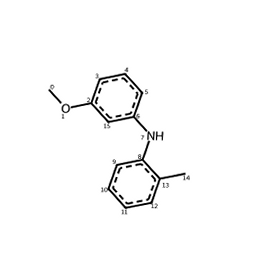 COc1cccc(Nc2ccccc2C)c1